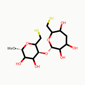 CO[C@@H]1OC(CS)[C@@H](O[C@@H]2OC(CS)C(O)CC(O)C2O)C(O)C1O